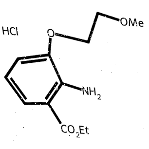 CCOC(=O)c1cccc(OCCOC)c1N.Cl